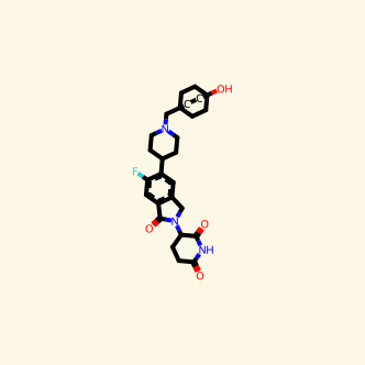 O=C1CCC(N2Cc3cc(C4CCN(CC56CCC(O)(CC5)CC6)CC4)c(F)cc3C2=O)C(=O)N1